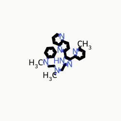 Cc1cccc(-c2nc(CN(C)CCN(C)c3ccccc3)[nH]c2-c2ccc3ncccc3n2)n1